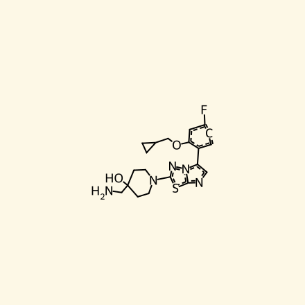 NCC1(O)CCN(c2nn3c(-c4ccc(F)cc4OCC4CC4)cnc3s2)CC1